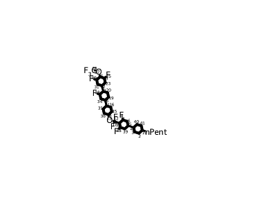 CCCCCc1ccc(-c2cc(F)c(C(F)(F)Oc3ccc(-c4ccc(-c5cc(F)c(OC(F)(F)F)c(F)c5)c(F)c4)cc3)c(F)c2)cc1